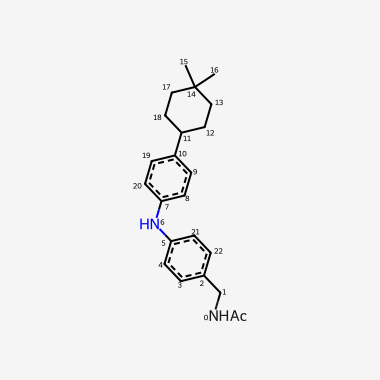 CC(=O)NCc1ccc(Nc2ccc(C3CCC(C)(C)CC3)cc2)cc1